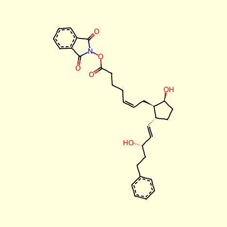 O=C(CCC/C=C\C[C@H]1[C@@H](O)CC[C@@H]1/C=C/[C@@H](O)CCc1ccccc1)ON1C(=O)c2ccccc2C1=O